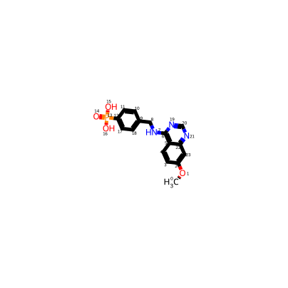 COc1ccc2c(NCc3ccc(P(=O)(O)O)cc3)ncnc2c1